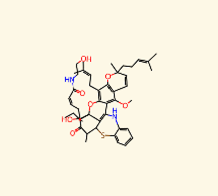 CCC(C)C12Oc3c(CC=C(C)C)c4c(c(OC)c3C3=C1C(Sc1ccccc1N3)C(C)C(=O)C2(O)C/C=C\C(=O)NCCO)C=CC(C)(CCC=C(C)C)O4